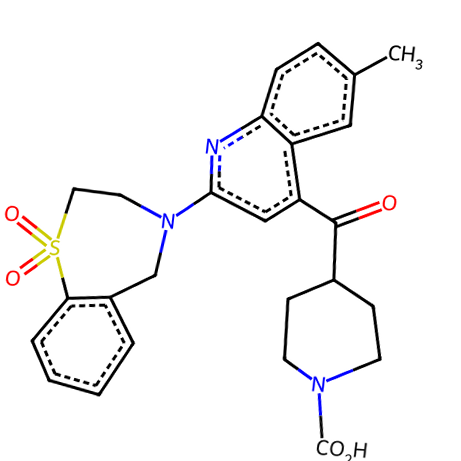 Cc1ccc2nc(N3CCS(=O)(=O)c4ccccc4C3)cc(C(=O)C3CCN(C(=O)O)CC3)c2c1